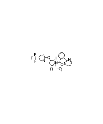 COC[C@@H]1[C@H]2C[C@@H](Oc3ccc(C(F)(F)F)cn3)[C@H](C2)N1C(=O)c1ccccc1-c1ncccn1